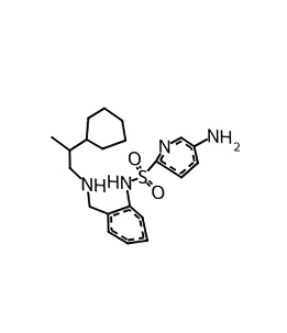 CC(CNCc1ccccc1NS(=O)(=O)c1ccc(N)cn1)C1CCCCC1